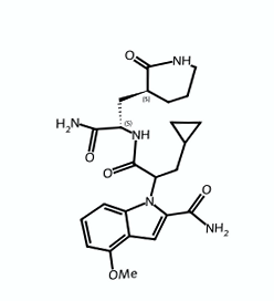 COc1cccc2c1cc(C(N)=O)n2C(CC1CC1)C(=O)N[C@@H](C[C@@H]1CCCNC1=O)C(N)=O